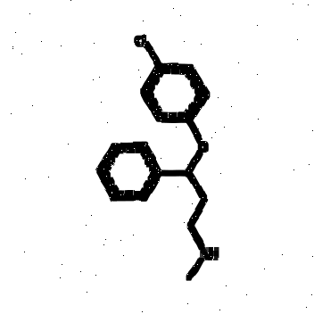 CNCCC(Oc1ccc(Cl)cc1)c1ccccc1